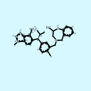 CCC1CN(Cc2cc([C@@H](c3ccc4c(nnn4C)c3C)C(C)C(=O)O)ccc2C)Cc2ccccc2O1